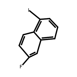 Fc1ccc2c(I)cccc2c1